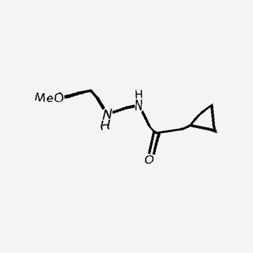 COCNNC(=O)C1CC1